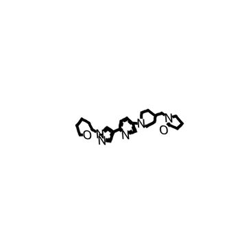 O=C1CCCN1CC1CCN(c2ccc(-c3cnn(C4CCCCO4)c3)nc2)CC1